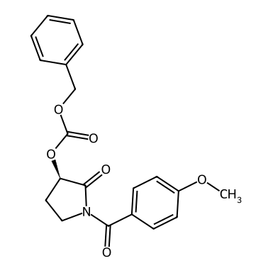 COc1ccc(C(=O)N2CC[C@@H](OC(=O)OCc3ccccc3)C2=O)cc1